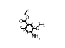 CCOC(=O)c1cc(OCC)c(N)cc1C